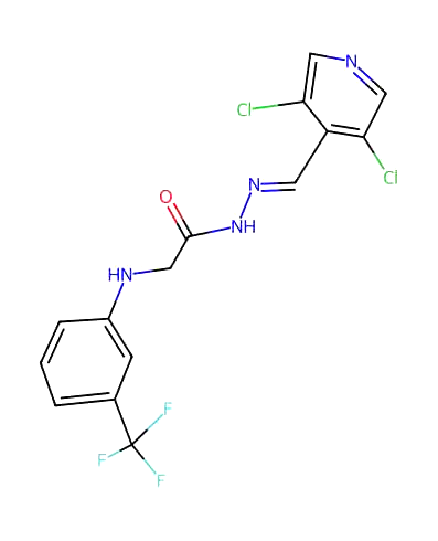 O=C(CNc1cccc(C(F)(F)F)c1)N/N=C/c1c(Cl)cncc1Cl